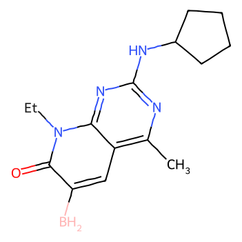 Bc1cc2c(C)nc(NC3CCCC3)nc2n(CC)c1=O